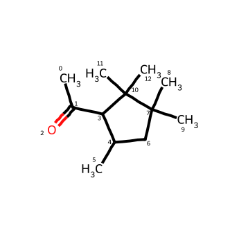 CC(=O)C1C(C)CC(C)(C)C1(C)C